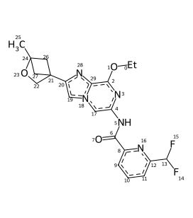 CCOc1nc(NC(=O)c2cccc(C(F)F)n2)cn2cc(C34COC(C)(C3)C4)nc12